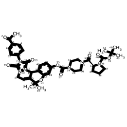 CC(=O)c1ccc(-n2c(=O)n3n(c2=O)C2C(=CC3)C(C)(C)Oc3cc(OC(=O)N4CCN(C(=O)[C@@H]5CCCN5C(=O)OC(C)(C)C)CC4)ccc32)cc1